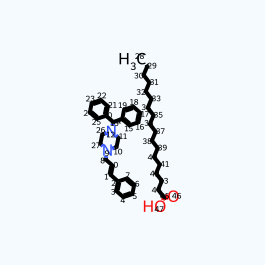 C(=Cc1ccccc1)CN1CCN(C(c2ccccc2)c2ccccc2)CC1.CCCCCCCCCCCCCCCCCC(=O)O